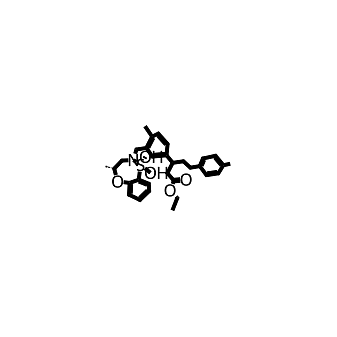 CCOC(=O)CC(CCc1ccc(C)cc1)c1ccc(C)c(CN2C[C@@H](C)Oc3ccccc3S2(O)O)c1